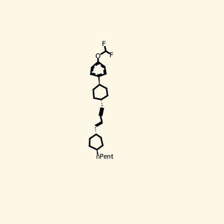 CCCCC[C@H]1CC[C@H](C=CC#C[C@H]2CC[C@H](c3ccc(OC(F)F)cc3)CC2)CC1